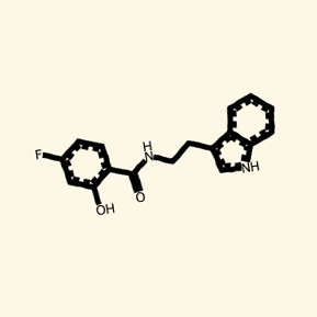 O=C(NCCc1c[nH]c2ccccc12)c1ccc(F)cc1O